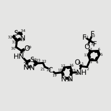 O=C(Cc1cccc(OC(F)(F)F)c1)Nc1ccc(CCCCc2nnc(NC(=O)Cc3cscn3)s2)nn1